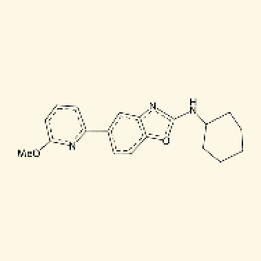 COc1cccc(-c2ccc3oc(NC4CCCCC4)nc3c2)n1